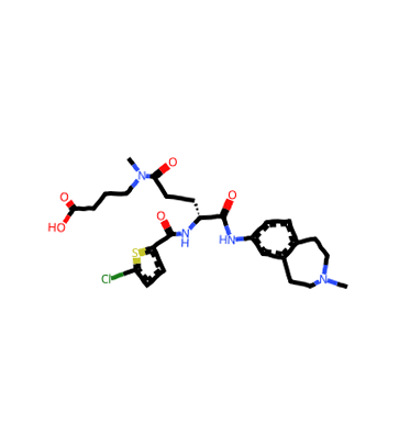 CN1CCc2ccc(NC(=O)[C@@H](CCC(=O)N(C)CCCC(=O)O)NC(=O)c3ccc(Cl)s3)cc2CC1